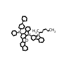 C=C/C=C\C=C(/C)n1c2ccccc2c2ccc(-n3c4ccccc4c4c(N(c5ccccc5)c5ccc(-c6ccccc6)cc5)cc5c6ccc7ccccc7c6oc5c43)cc21